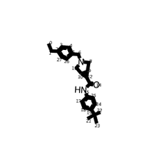 CCc1ccc(CN2CC3C(C2)C3C(=O)Nc2ccc(C(C)(C)C)cc2)cc1